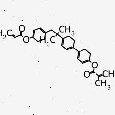 C=CC(=O)OC1=CC=C(CC(C)(C)C2=CC=C(C3=CC=C(OC(=O)C(=C)C)CC3)CC2)CC1